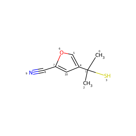 CC(C)(S)c1coc(C#N)c1